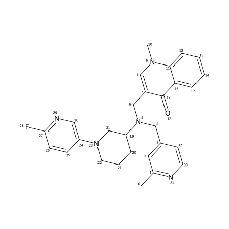 Cc1cc(CN(Cc2cn(C)c3ccccc3c2=O)C2CCCN(c3ccc(F)nc3)C2)ccn1